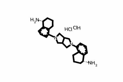 Cl.Cl.N[C@@H]1CCCc2c1cccc2N1CC2CN(c3cccc4c3CCC[C@H]4N)CC2C1